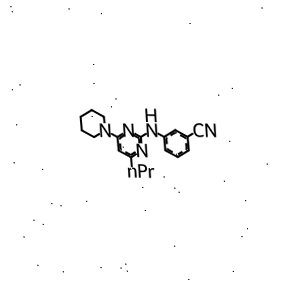 CCCc1cc(N2CCCCC2)nc(Nc2cccc(C#N)c2)n1